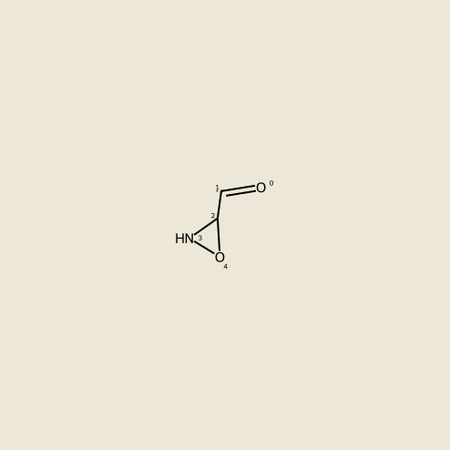 O=[C]C1NO1